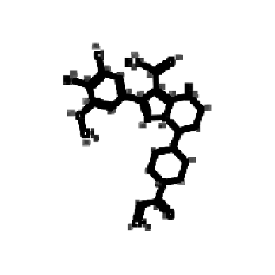 C=CC(=O)N1CCC(C2CCNc3c(C(N)=O)c(-c4cc(Cl)c(Br)c(OC)c4)nn32)CC1